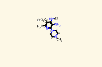 CCNc1c(N)c(N2CCN(C)CC2)nc(C)c1C(=O)OCC